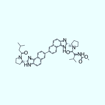 COC(=O)N[C@H](C(=O)N1CCC[C@H]1c1nc2ccc3cc(-c4ccc5c(ccc6[nH]c([C@@H]7CCCN7C(=O)CC(C)C)nc65)c4)ccc3c2[nH]1)C(C)C